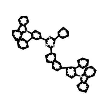 c1ccc(-c2nc(-c3ccc(-n4c5ccccc5c5ccccc54)c(-c4ccccc4)c3)nc(-c3ccc4ccc(-c5ccc(-n6c7ccccc7c7ccccc76)c(-c6ccccc6)c5)cc4c3)n2)cc1